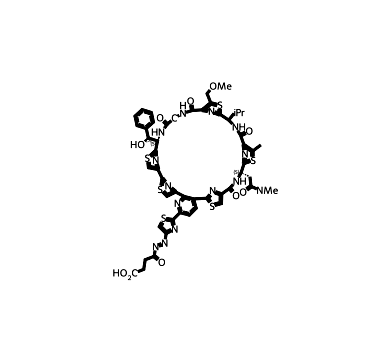 CNC(=O)C[C@@H]1NC(=O)c2csc(n2)-c2ccc(-c3nc(N=NC(=O)CCC(=O)O)cs3)nc2-c2csc(n2)-c2csc(n2)[C@H]([C@@H](O)c2ccccc2)NC(=O)CNC(=O)c2nc(sc2COC)C(C(C)C)NC(=O)c2nc1sc2C